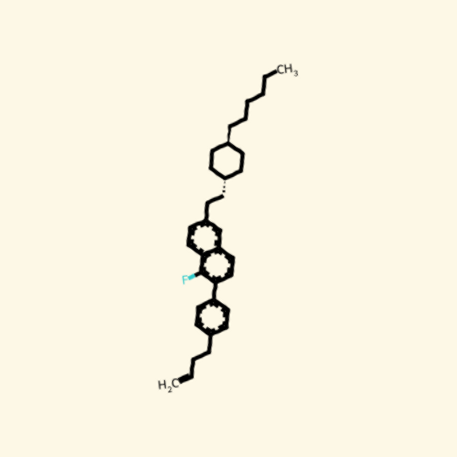 C=CCCc1ccc(-c2ccc3cc(CC[C@H]4CC[C@H](CCCCCC)CC4)ccc3c2F)cc1